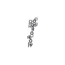 O=C(NS/N=C/c1ccc2c(c1)CCc1c-2cnn1-c1ccc(OC(F)(F)F)cc1)Nc1c(Cl)cc(Cl)cc1Cl